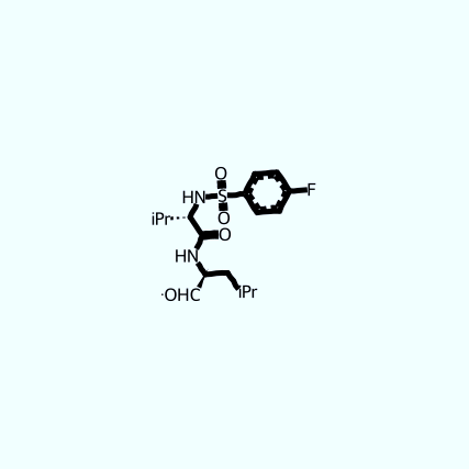 CC(C)C[C@@H]([C]=O)NC(=O)[C@@H](NS(=O)(=O)c1ccc(F)cc1)C(C)C